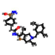 Cc1ccc(C)c(CN2Cc3c(sc(NC(=O)Cc4ccc([S+](N)[O-])cc4)c3C#N)CC2C)c1